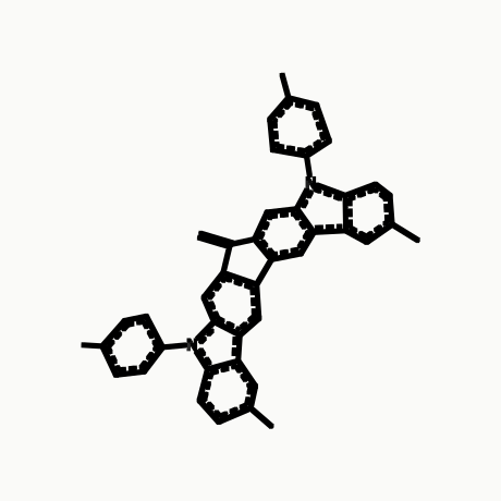 C=C1c2cc3c(cc2-c2cc4c5cc(C)ccc5n(-c5ccc(C)cc5)c4cc21)c1cc(C)ccc1n3-c1ccc(C)cc1